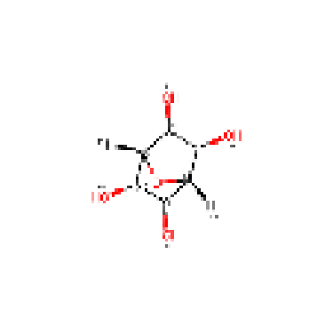 O[C@@H]1[C@H](O)[C@@H]2O[C@H]1[C@@H](O)[C@H]2O